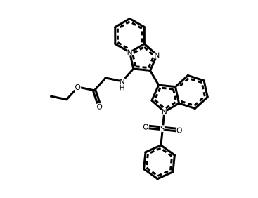 CCOC(=O)CNc1c(-c2cn(S(=O)(=O)c3ccccc3)c3ccccc23)nc2ccccn12